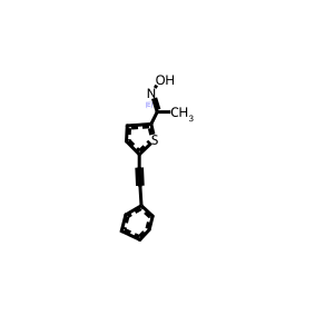 C/C(=N\O)c1ccc(C#Cc2ccccc2)s1